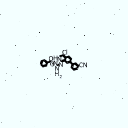 N#Cc1cccc(-c2ccc3c(Cl)cnc(N=C(N)NOC(=O)c4ccccc4)c3c2)c1